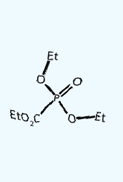 CCOC(=O)P(=O)(OCC)OCC